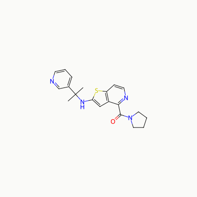 CC(C)(Nc1cc2c(C(=O)N3CCCC3)nccc2s1)c1cccnc1